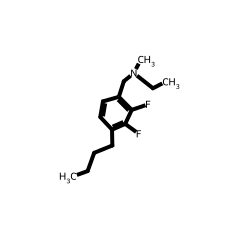 CCCCc1ccc(CN(C)CC)c(F)c1F